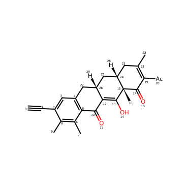 C#Cc1cc2c(c(C)c1C)C(=O)C1=C(O)[C@@]3(C)C(=O)C(C(C)=O)=C(C)C[C@H]3C[C@H]1C2